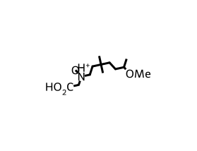 COC(C)CCC(C)(C)CC[NH+]([O-])CC(=O)O